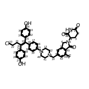 O=C1CCC(N2Cc3cc(CN4CCN(c5ccc(/C(=C(/CCCl)c6ccc(O)cc6)c6ccc(O)cc6)cc5)CC4)cc(F)c3C2=O)C(=O)N1